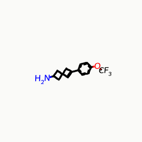 NC1CC2(C=C(c3ccc(OC(F)(F)F)cc3)C2)C1